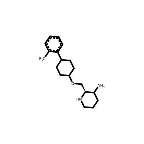 NC1CCCN[C@H]1COC1CCC(c2ccccc2C(F)(F)F)CC1